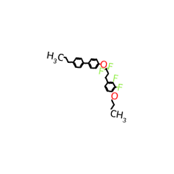 CCCCOc1ccc(CCC(F)(F)Oc2ccc(-c3ccc(CCC)cc3)cc2)c(F)c1F